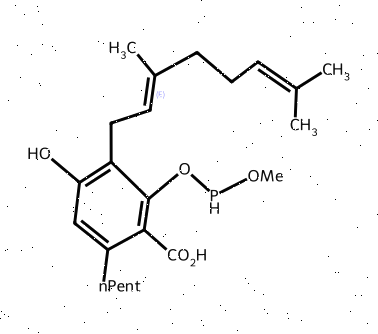 CCCCCc1cc(O)c(C/C=C(\C)CCC=C(C)C)c(OPOC)c1C(=O)O